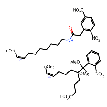 CCCCCCCC/C=C\CCCC(CCCC(=O)O)C(OC)(OC)c1ccccc1[N+](=O)[O-].CCCCCCCC/C=C\CCCCCCCNC(=O)Cc1cc(C(=O)O)ccc1[N+](=O)[O-]